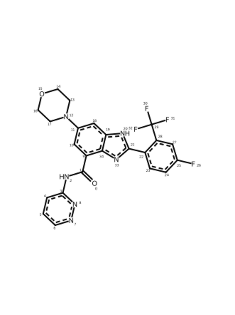 O=C(Nc1cccnn1)c1cc(N2CCOCC2)cc2[nH]c(-c3ccc(F)cc3C(F)(F)F)nc12